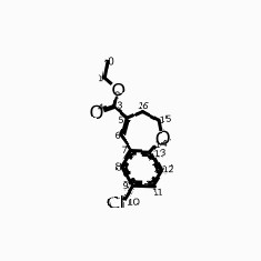 CCOC(=O)C1=Cc2cc(Cl)ccc2OCC1